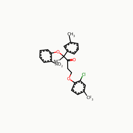 Cc1cccc(C(C#N)(Oc2ccccc2[N+](=O)[O-])C(=O)CCOc2ccc(C(F)(F)F)cc2Cl)c1